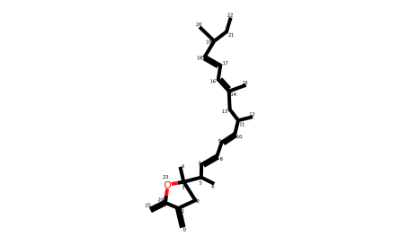 C=C1CC(C)(C(C)/C=C/C=C/C(C)C/C(C)=C/C=C/C(C)CC)OC1=C